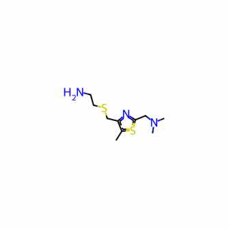 Cc1sc(CN(C)C)nc1CSCCN